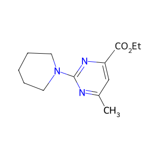 CCOC(=O)c1cc(C)nc(N2CCCCC2)n1